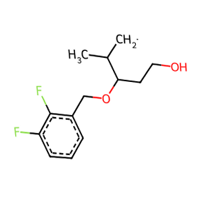 [CH2]C(C)C(CCO)OCc1cccc(F)c1F